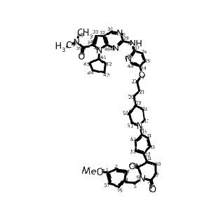 COc1ccc(CN2C(=O)CCC(c3ccc(N4CCC(CCCOc5ccc(Nc6ncc7cc(C(=O)N(C)C)n(C8CCCC8)c7n6)nc5)CC4)cc3)C2=O)cc1